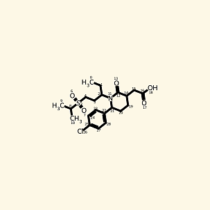 CCC(CCS(=O)(=O)C(C)C)N1C(=O)C(CC(=O)O)CCC1c1ccc(Cl)cc1